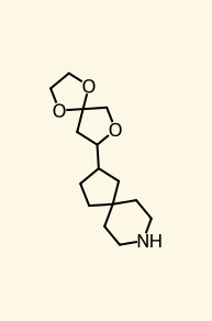 C1CC2(CCN1)CCC(C1CC3(CO1)OCCO3)C2